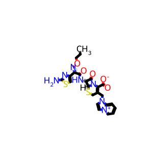 CCCO/N=C(\C(=O)N[C@@H]1C(=O)N2C(C(=O)[O-])=C(Cn3cc[n+]4ccccc34)CS[C@@H]12)c1csc(N)n1